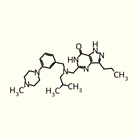 CCCc1n[nH]c2c(=O)[nH]c(CN(Cc3cccc(N4CCN(C)CC4)c3)CC(C)C)nc12